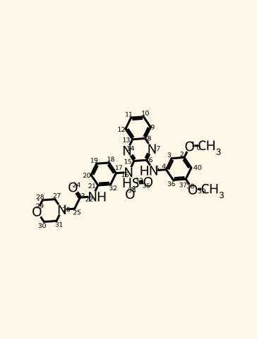 COc1cc(Nc2nc3ccccc3nc2N(c2cccc(NC(=O)CN3C[CH]OCC3)c2)[SH](=O)=O)cc(OC)c1